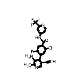 C#Cc1cnc(C)c(N)c1-c1cc(Cl)c(C(=O)Nc2ccnc(C(F)(F)F)c2)cc1F